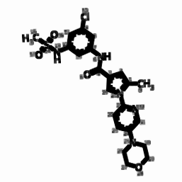 Cc1cc(C(=O)Nc2cc(Cl)cc(NS(C)(=O)=O)c2)cn1-c1ccc(N2CCOCC2)cn1